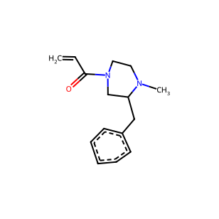 C=CC(=O)N1CCN(C)C(Cc2ccccc2)C1